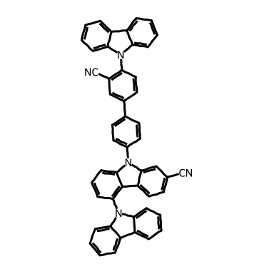 N#Cc1ccc2c3c(-n4c5ccccc5c5ccccc54)cccc3n(-c3ccc(-c4ccc(-n5c6ccccc6c6ccccc65)c(C#N)c4)cc3)c2c1